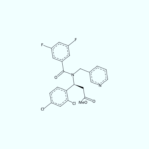 COC(=O)C[C@@H](c1ccc(Cl)cc1Cl)N(Cc1cccnc1)C(=O)c1cc(F)cc(F)c1